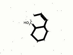 C/C=C\C1CCCCC1C(=O)O